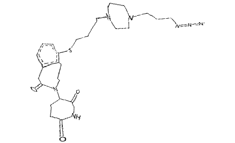 [N-]=[N+]=NCCCN1CCN(CCCSc2cccc3c2CN(C2CCC(=O)NC2=O)C3=O)CC1